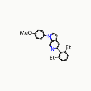 CCc1cccc(CC)c1-c1cc2ccn(-c3ccc(OC)cc3)c2cn1